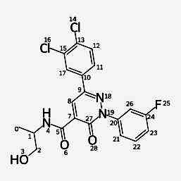 CC(CO)NC(=O)c1cc(-c2ccc(Cl)c(Cl)c2)nn(-c2cccc(F)c2)c1=O